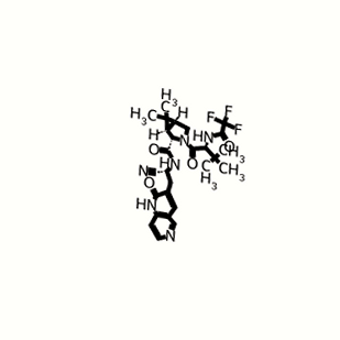 CC(C)(C)[C@H](NC(=O)C(F)(F)F)C(=O)N1C[C@H]2[C@@H]([C@H]1C(=O)N[C@@H](C#N)Cc1cc3cnccc3[nH]c1=O)C2(C)C